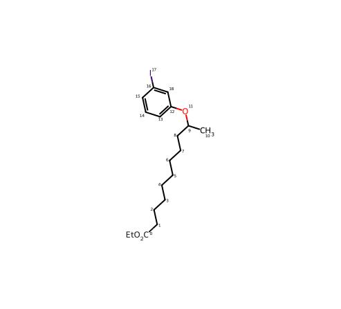 CCOC(=O)CCCCCCCCC(C)Oc1cccc(I)c1